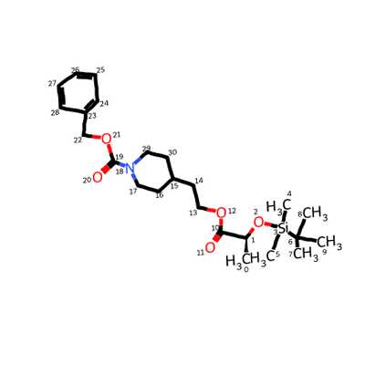 C[C@H](O[Si](C)(C)C(C)(C)C)C(=O)OCCC1CCN(C(=O)OCc2ccccc2)CC1